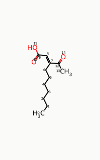 CCCCCCC/C(=C\C(=O)O)C(C)=O